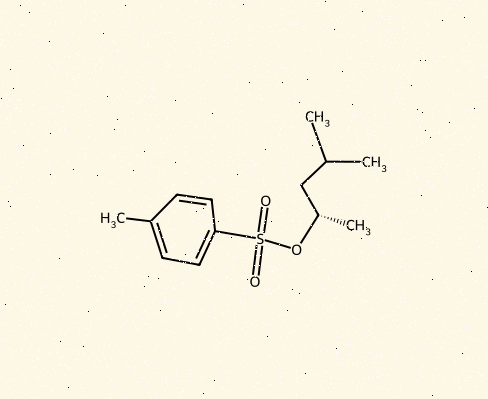 Cc1ccc(S(=O)(=O)O[C@@H](C)CC(C)C)cc1